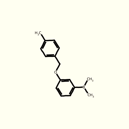 CB(C)c1cccc(OCc2ccc(C)cc2)c1